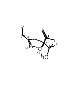 C=C(C)C1(C(=O)O)CC(CC)=NO1